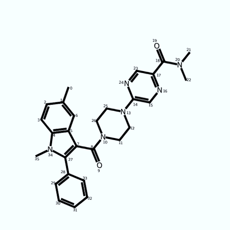 Cc1ccc2c(c1)c(C(=O)N1CCN(c3cnc(C(=O)N(C)C)cn3)CC1)c(-c1ccccc1)n2C